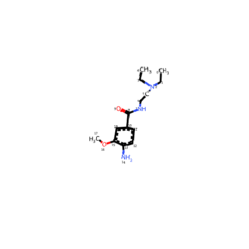 CCN(CC)CCNC(=O)c1ccc(N)c(OC)c1